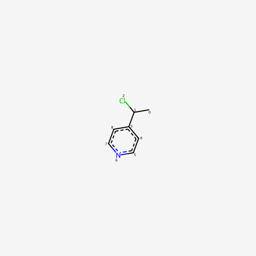 CC(Cl)c1ccncc1